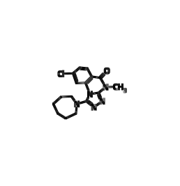 Cn1c(=O)c2ccc(Cl)cc2n2c(N3CCCCCC3)nnc12